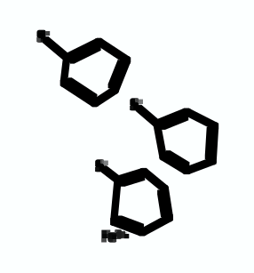 [Fe+3].[S-]c1ccccc1.[S-]c1ccccc1.[S-]c1ccccc1